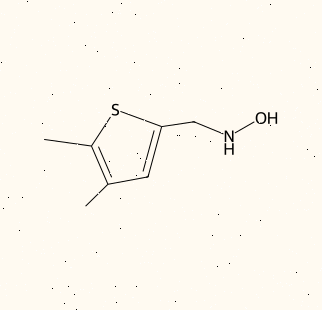 Cc1cc(CNO)sc1C